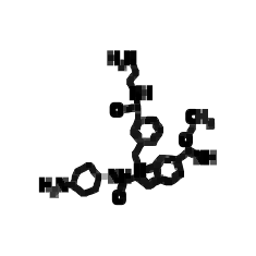 CCOC(=N)c1ccc2cc(C(=O)N[C@H]3CC[C@H](N)CC3)n(Cc3cccc(C(=O)NCCN)c3)c2c1